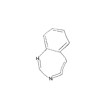 C1=Cc2ccccc2N=CN=1